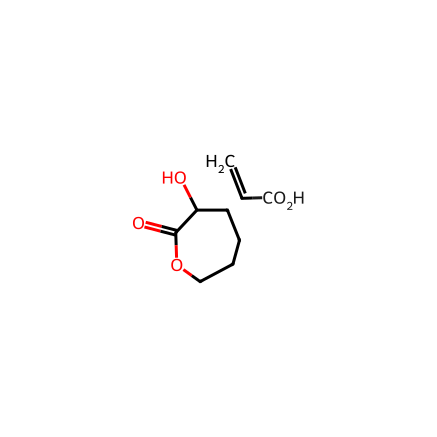 C=CC(=O)O.O=C1OCCCCC1O